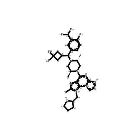 Cc1nc2c(N3C[C@@H](C)N(C(c4ccc(F)c(C(F)F)c4)C4CC(F)(F)C4)C[C@@H]3C)nc3nncn3c2n1CC1CCCO1